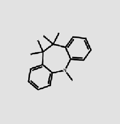 CN1c2ccccc2C(C)(C)C(C)(C)c2ccccc21